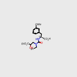 CCOC(=O)C(O)CN(CC(C)C)C(=O)N[C@@H](Cc1cccc(OC)c1)C(=O)O